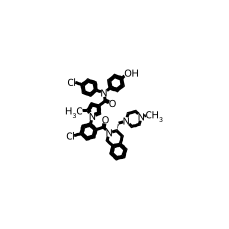 Cc1cc(C(=O)N(c2ccc(O)cc2)c2ccc(Cl)cc2)cn1-c1cc(Cl)ccc1C(=O)N1Cc2ccccc2C[C@H]1CN1CCN(C)CC1